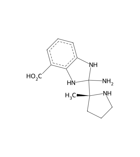 C[C@]1(C2(N)Nc3cccc(C(=O)O)c3N2)CCCN1